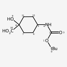 CC(C)(C)OC(=O)NC1CCC(O)(C(=O)O)CC1